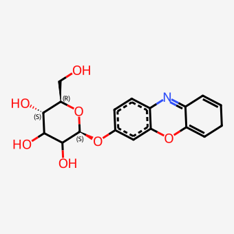 OC[C@H]1O[C@@H](Oc2ccc3c(c2)OC2=CCC=CC2=N3)C(O)C(O)[C@@H]1O